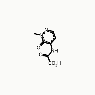 Cn1nccc(NC(=O)C(=O)O)c1=O